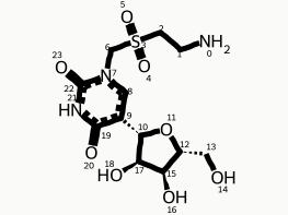 NCCS(=O)(=O)Cn1cc([C@@H]2O[C@H](CO)[C@@H](O)[C@H]2O)c(=O)[nH]c1=O